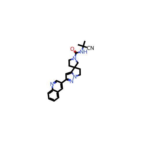 CC(C)(C#N)NC(=O)N1CCC2(CCn3nc(-c4cnc5ccccc5c4)cc32)C1